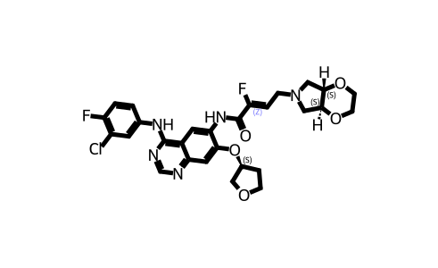 O=C(Nc1cc2c(Nc3ccc(F)c(Cl)c3)ncnc2cc1O[C@H]1CCOC1)/C(F)=C/CN1C[C@@H]2OCCO[C@H]2C1